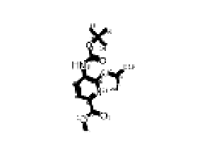 COC(=O)c1ccc(NC(=O)OC(C)(C)C)c(OC(F)F)n1